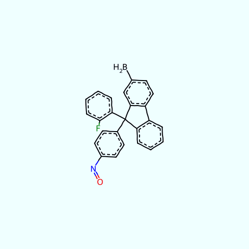 Bc1ccc2c(c1)C(c1ccc(N=O)cc1)(c1ccccc1F)c1ccccc1-2